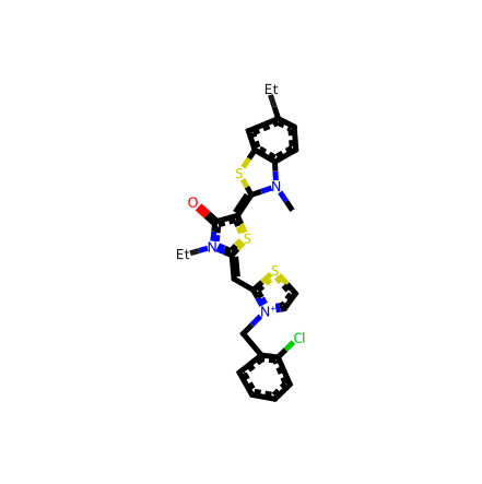 CCc1ccc2c(c1)S/C(=c1/s/c(=C\c3scc[n+]3Cc3ccccc3Cl)n(CC)c1=O)N2C